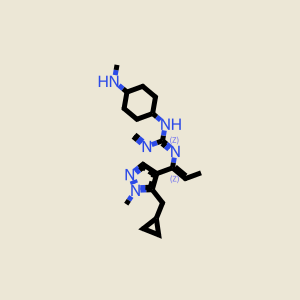 C=N/C(=N\C(=C/C)c1cnn(C)c1CC1CC1)NC1CCC(NC)CC1